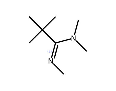 C/N=C(\N(C)C)C(C)(C)C